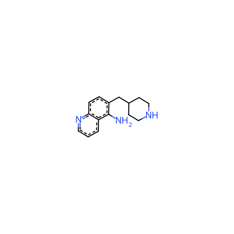 Nc1c(CC2CCNCC2)ccc2ncccc12